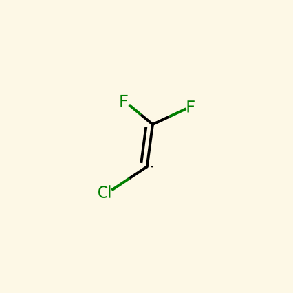 FC(F)=[C]Cl